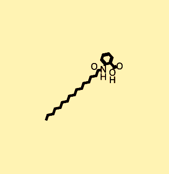 CCCCCCCCCCCCCCCC(=O)Nc1ccccc1C(=O)O